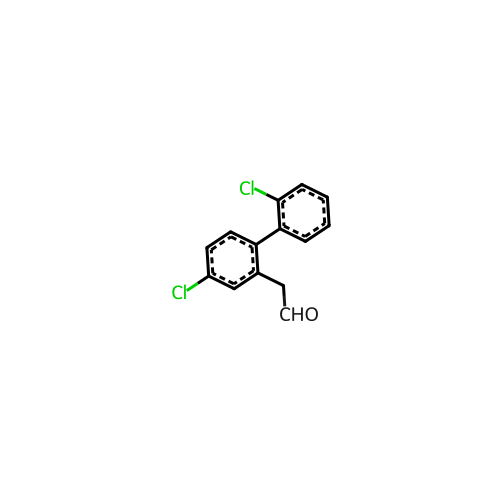 O=CCc1cc(Cl)ccc1-c1ccccc1Cl